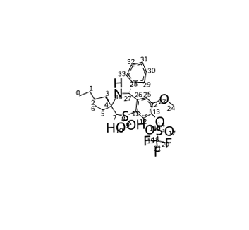 CCCC[C@]1(CC)CS(O)(O)c2cc(OS(=O)(=O)C(F)(F)F)c(OC)cc2[C@@H](c2ccccc2)N1